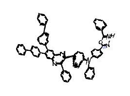 C/N=C(\OC(=N)c1ccccc1)c1ccc(N(c2ccccc2)c2ccc(-c3nc4cc(-c5ccc(-c6ccccc6)cc5)c(-c5ccc(-c6ccccc6)cc5)cc4nc3-c3ccccc3)cc2)cc1